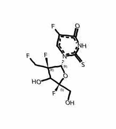 O=c1[nH]c(=S)n([C@@H]2O[C@](F)(CO)C(O)[C@]2(F)CF)cc1F